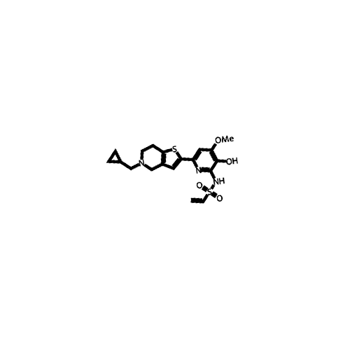 C=CS(=O)(=O)Nc1nc(-c2cc3c(s2)CCN(CC2CC2)C3)cc(OC)c1O